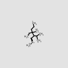 CCCC(C)(CC)C(C=NC)C(C)C